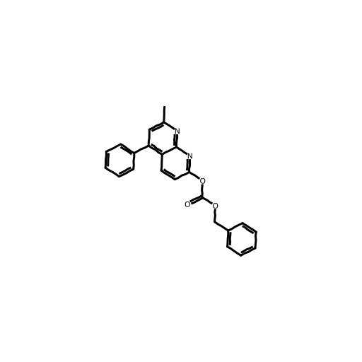 Cc1cc(-c2ccccc2)c2ccc(OC(=O)OCc3ccccc3)nc2n1